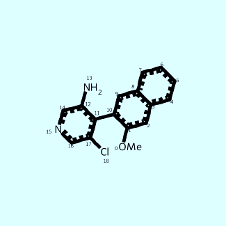 COc1cc2ccccc2cc1-c1c(N)cncc1Cl